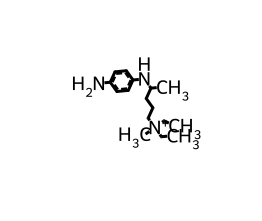 CC[N+](C)(CC)CCCC(C)Nc1ccc(N)cc1